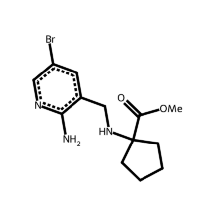 COC(=O)C1(NCc2cc(Br)cnc2N)CCCC1